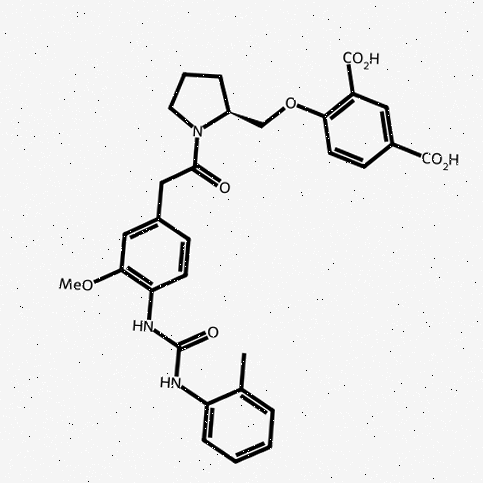 COc1cc(CC(=O)N2CCC[C@H]2COc2ccc(C(=O)O)cc2C(=O)O)ccc1NC(=O)Nc1ccccc1C